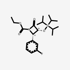 CCOC(=O)N1C(=O)[C@H](O[Si](C(C)C)(C(C)C)C(C)C)[C@@H]1c1cccc(F)c1